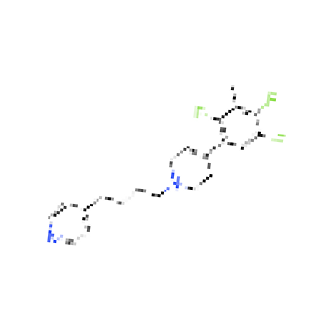 Cc1c(F)c(F)cc(C2=CCN(CCCCc3ccncc3)CC2)c1F